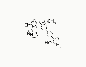 COc1cc(C2CCN(C(=O)C(C)O)CC2)ccc1Nc1ncc(Cl)c(-c2cnn3ccccc23)n1